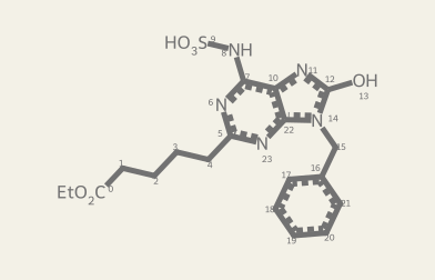 CCOC(=O)CCCCc1nc(NS(=O)(=O)O)c2nc(O)n(Cc3ccccc3)c2n1